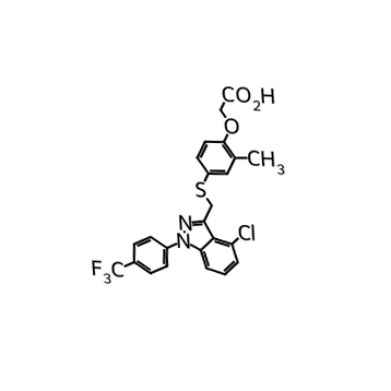 Cc1cc(SCc2nn(-c3ccc(C(F)(F)F)cc3)c3cccc(Cl)c23)ccc1OCC(=O)O